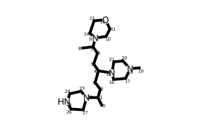 CC(CCC(CCC(C)N1CCOCC1)N1CCN(C)CC1)N1CCNCC1